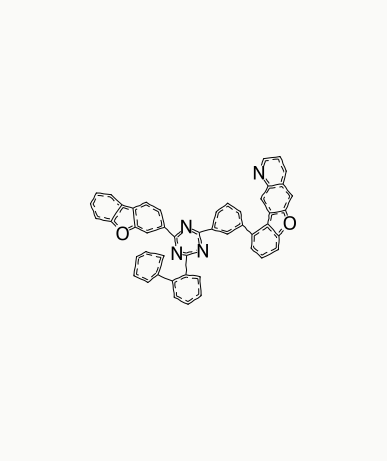 c1ccc(-c2ccccc2-c2nc(-c3cccc(-c4cccc5oc6cc7cccnc7cc6c45)c3)nc(-c3ccc4c(c3)oc3ccccc34)n2)cc1